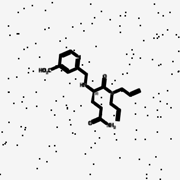 C=CCN(CC=C)C(=O)[C@@H](CCC(N)=O)NCc1cc(C(=O)O)ccn1